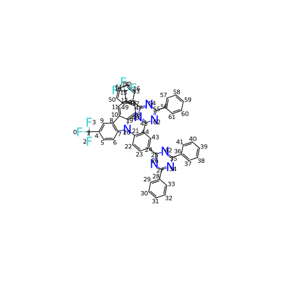 FC(F)(F)c1ccc2c(c1)c1cc(C(F)(F)F)ccc1n2-c1ccc(-c2nc(-c3ccccc3)nc(-c3ccccc3)n2)cc1-c1nc(-c2ccccc2)nc(-c2ccccc2)n1